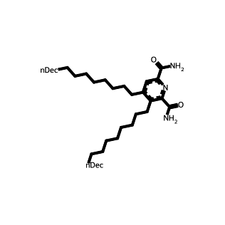 CCCCCCCCCCCCCCCCCCc1cc(C(N)=O)nc(C(N)=O)c1CCCCCCCCCCCCCCCCCC